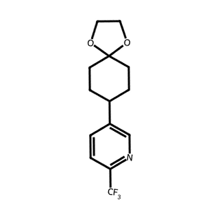 FC(F)(F)c1ccc(C2CCC3(CC2)OCCO3)cn1